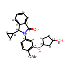 COc1ccc(N2C(=O)c3ccccc3C2C2CC2)cc1OC1CCC(O)C1